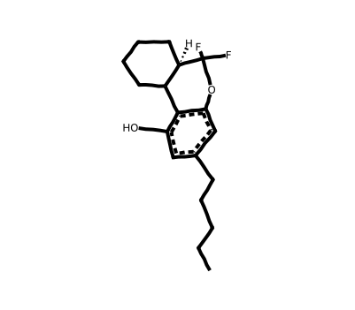 CCCCCc1cc(O)c2c(c1)OC(F)(F)[C@@H]1CCCCC21